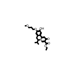 CCOC(=O)c1cn2c(cc1=O)-c1cc(O)c(OCCCOC)cc1CC2C(C)C